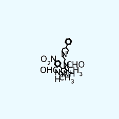 CC1=C(NC=O)C(c2ccc([N+](=O)[O-])cc2)C(N(C=O)CCCN2CCC(c3ccccc3)CC2)=C(C)N1